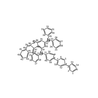 c1ccc(-c2ccc(-c3ccc(N(c4ccccc4)c4cc(N(c5ccccc5)c5ccccc5)cc5sc6cc7ccccc7cc6c45)cc3)cc2)cc1